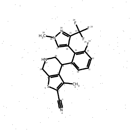 Cc1c(C#N)sc2c1C(c1cccc(F)c1-c1cn(C)nc1C(F)(F)F)CNC2